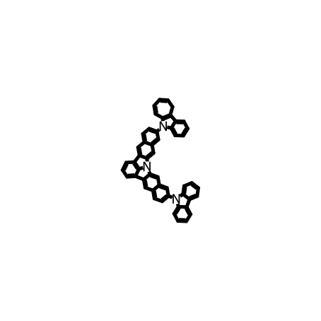 C1=CCc2c(n(-c3ccc4cc5c6cccc7c8cc9ccc(-n%10c%11ccccc%11c%11ccccc%11%10)cc9cc8n(c5cc4c3)c67)c3ccccc23)C=C1